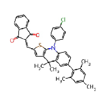 Cc1cc(C)c(-c2ccc3c(c2)C(C)(C)c2cc(C=C4C(=O)c5ccccc5C4=O)sc2N3c2ccc(Cl)cc2)c(C)c1